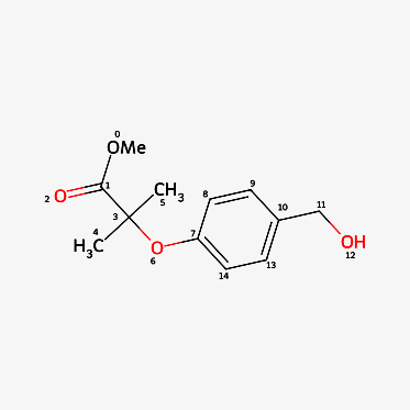 COC(=O)C(C)(C)Oc1ccc(CO)cc1